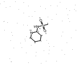 CS(=O)(=O)NC1CCCC[N]1